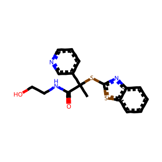 CC(Sc1nc2ccccc2s1)(C(=O)NCCO)c1cccnc1